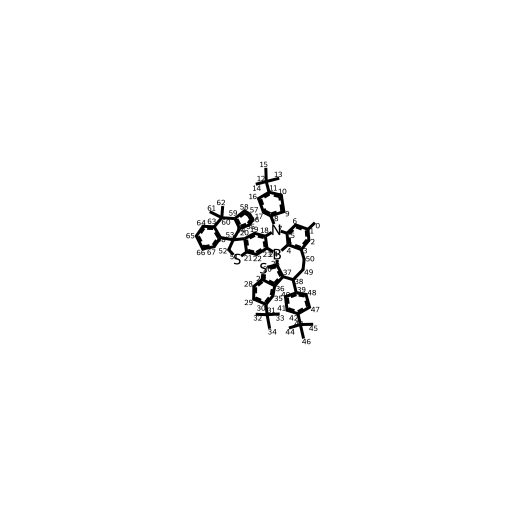 Cc1cc2c3c(c1)N(c1ccc(C(C)(C)C)cc1)c1cc4c(cc1B3c1sc3ccc(C(C)(C)C)cc3c1C(c1ccc(C(C)(C)C)cc1)CC2)SCC41c2ccccc2C(C)(C)c2ccccc21